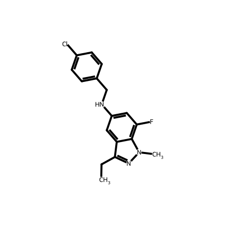 CCc1nn(C)c2c(F)cc(NCc3ccc(Cl)cc3)cc12